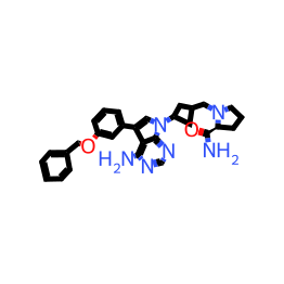 NC(=O)[C@@H]1CCCN1CC1CC(n2cc(-c3cccc(OCc4ccccc4)c3)c3c(N)ncnc32)C1